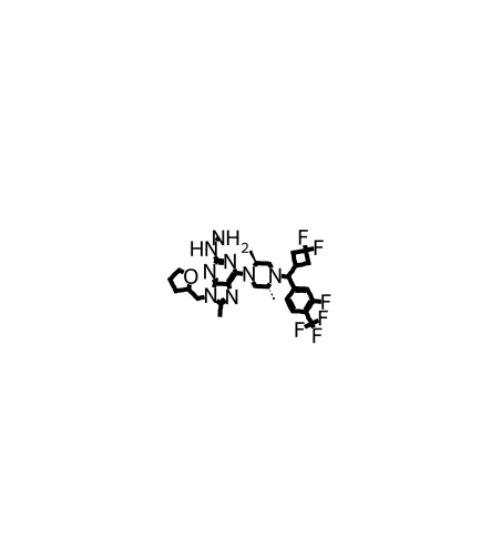 Cc1nc2c(N3C[C@@H](C)N(C(c4ccc(C(F)(F)F)c(F)c4)C4CC(F)(F)C4)C[C@@H]3C)nc(NN)nc2n1CC1CCCO1